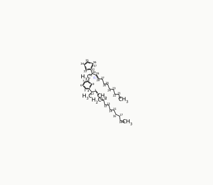 C=CC(C)c1ccccc1.C=CCCCCCCCC.CCCCCCCC/C=C/C(C)c1ccccc1